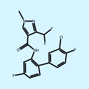 Cn1cc(C(=O)Nc2cc(F)ccc2-c2ccc(F)c(Cl)c2)c(C(F)F)n1